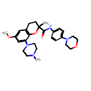 COc1cc2c(c(N3CCN(C)CC3)c1)OC(C)(C(=O)Nc1ccc(N3CCOCC3)cc1)CC2